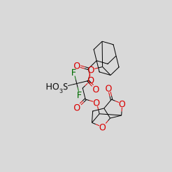 O=C(COC(=O)C12CC3CC(C1)C(OC(=O)C(F)(F)S(=O)(=O)O)C(C3)C2)OC1C2CC3C(=O)OC1C3O2